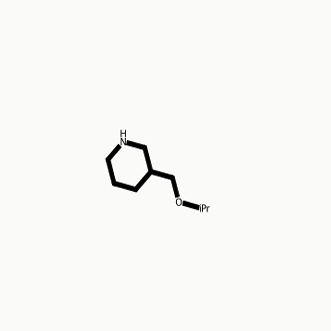 CC(C)OCC1CCCNC1